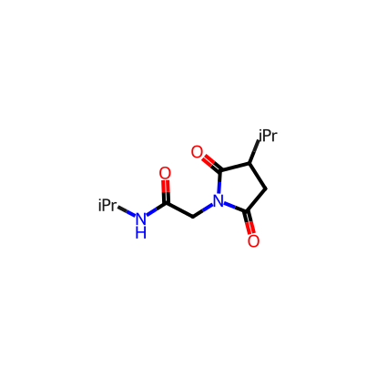 CC(C)NC(=O)CN1C(=O)CC(C(C)C)C1=O